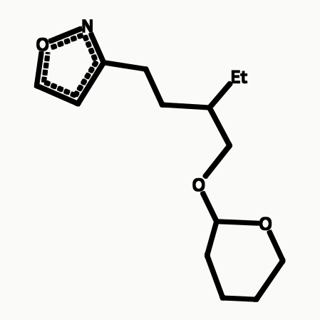 CCC(CCc1ccon1)COC1CCCCO1